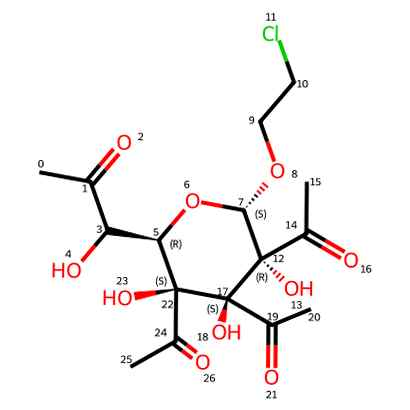 CC(=O)C(O)[C@H]1O[C@H](OCCCl)[C@@](O)(C(C)=O)[C@](O)(C(C)=O)[C@]1(O)C(C)=O